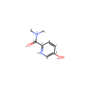 CN(C)C(=O)c1ccc(O)cn1